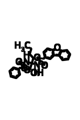 CCCCC(NS(=O)(=O)c1ccccc1)(NS(=O)(=O)c1ccc2oc3ccccc3c2c1)C(=O)O